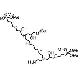 CO[Si](CCCOCC(O)CN(CCN)CCNCCNCCN(CC(O)COCCC[Si](OC)(OC)OC)CC(O)COC(C)(C)C)(OC)OC